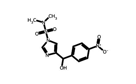 CN(C)S(=O)(=O)n1cnc(C(O)c2ccc([N+](=O)[O-])cc2)c1